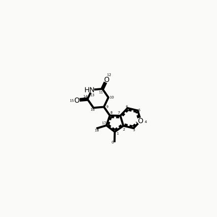 Cc1c2coccc-2c(C2CC(=O)NC(=O)C2)c1C